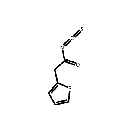 O=C(Cc1cccs1)N=C=S